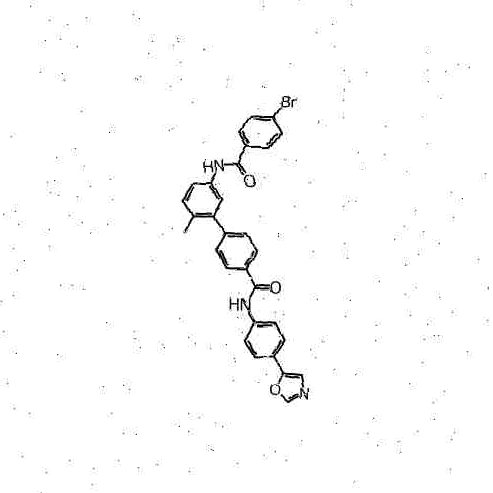 Cc1ccc(NC(=O)c2ccc(Br)cc2)cc1-c1ccc(C(=O)Nc2ccc(-c3cnco3)cc2)cc1